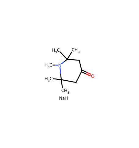 CN1C(C)(C)CC(=O)CC1(C)C.[NaH]